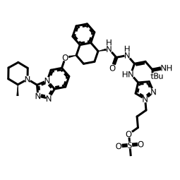 C[C@H]1CCCCN1c1nnc2ccc(O[C@@H]3CC[C@H](NC(=O)N/C(=C/C(=N)C(C)(C)C)Nc4cnn(CCCOS(C)(=O)=O)c4)c4ccccc43)cn12